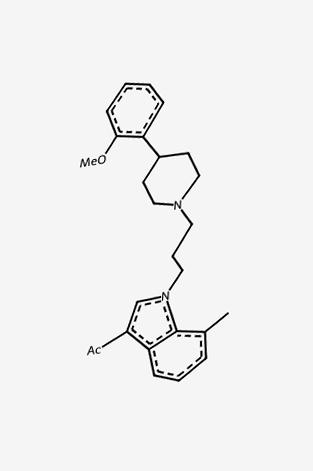 COc1ccccc1C1CCN(CCCn2cc(C(C)=O)c3cccc(C)c32)CC1